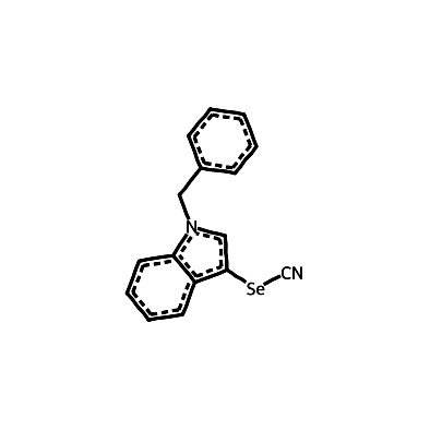 N#C[Se]c1cn(Cc2ccccc2)c2ccccc12